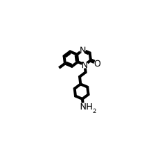 Cc1ccc2ncc(=O)n(CCC3CCC(N)CC3)c2c1